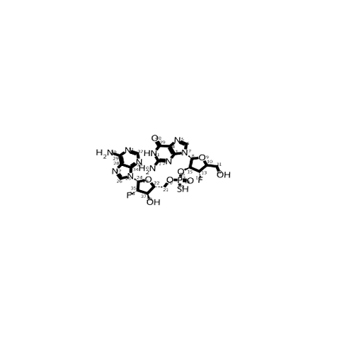 Nc1nc2c(ncn2[C@@H]2OC(CO)[C@H](F)[C@H]2OP(=O)(S)OC[C@H]2O[C@@H](n3cnc4c(N)ncnc43)[C@@H](F)[C@@H]2O)c(=O)[nH]1